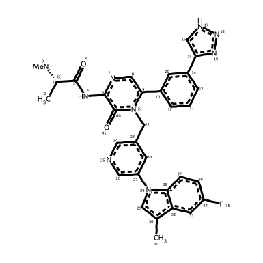 CN[C@@H](C)C(=O)Nc1ncc(-c2cccc(-c3c[nH]nn3)c2)n(Cc2cncc(-n3cc(C)c4cc(F)ccc43)c2)c1=O